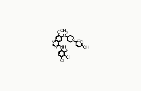 COc1cc2ncnc(Nc3ccc(Cl)c(Cl)c3F)c2cc1OC1CCN(C(=O)/C=C\C(=O)O)CC1